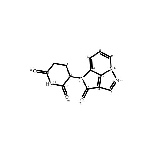 O=C1CCC(n2c(=O)c3cnn4cccc2c34)C(=O)N1